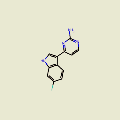 Nc1nccc(-c2c[nH]c3cc(F)ccc23)n1